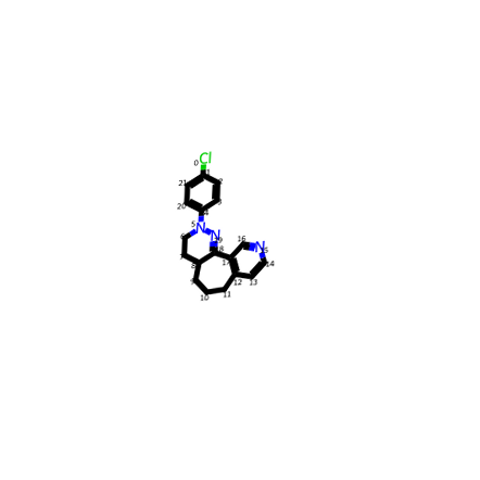 Clc1ccc(N2CCC3CCCc4ccncc4C3=N2)cc1